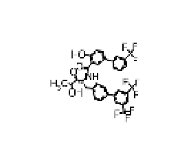 CC(O)C(=O)[C@H](Cc1ccc(-c2cc(C(F)(F)F)cc(C(F)(F)F)c2)cc1)NC(=O)c1cc(-c2cccc(C(F)(F)F)c2)ccc1O